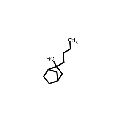 CCCCC1(O)CC2CCC1C2